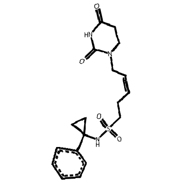 O=C1CCN(C/C=C\CCS(=O)(=O)NC2(c3ccccc3)CC2)C(=O)N1